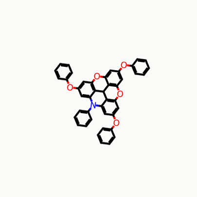 c1ccc(Oc2cc3c4c(c2)Oc2cc(Oc5ccccc5)cc5c2C4c2c(cc(Oc4ccccc4)cc2N5c2ccccc2)O3)cc1